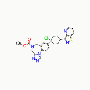 CC(C)(C)OC(=O)N1Cc2cc(C3(Cl)CCC(c4nsc5cccnc45)CC3)ccc2-n2cnnc2C1